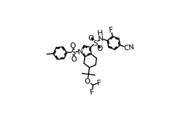 Cc1ccc(S(=O)(=O)n2cc(S(=O)(=O)Nc3ccc(C#N)cc3F)c3c2CC(C(C)(C)OC(F)F)CC3)cc1